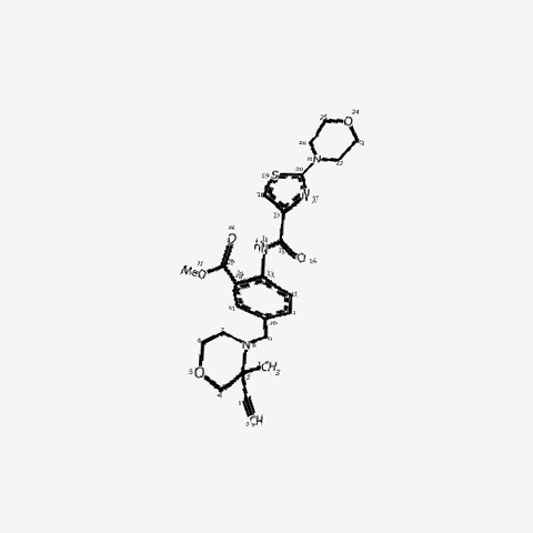 C#CC1(C)COCCN1Cc1ccc(NC(=O)c2csc(N3CCOCC3)n2)c(C(=O)OC)c1